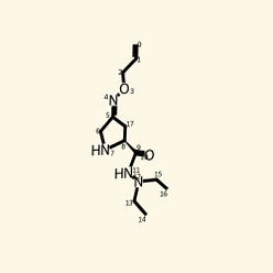 C=CCON=C1CN[C@H](C(=O)NN(CC)CC)C1